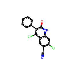 N#Cc1cc2c(Cl)c(-c3ccccc3)c(=O)[nH]c2cc1Cl